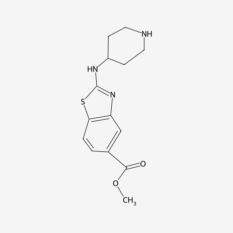 COC(=O)c1ccc2sc(NC3CCNCC3)nc2c1